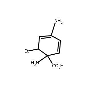 CCC1C=C(N)C=CC1(N)C(=O)O